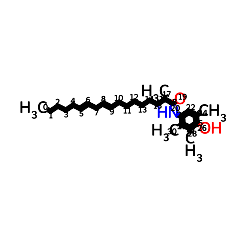 CCCCCC=CCC=CCCCCCCC(C)C(=O)Nc1cc(C)c(O)c(C)c1C